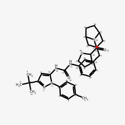 Cc1ccc(-n2nc(C(C)(C)C)cc2NC(=O)Nc2cccc(CC3CC4CCC(C3)N4C(=O)C3CCCO3)c2)cc1